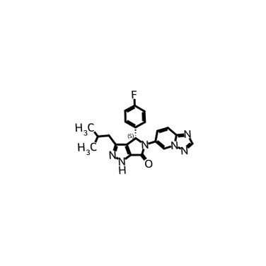 CC(C)Cc1n[nH]c2c1[C@H](c1ccc(F)cc1)N(c1ccc3ncnn3c1)C2=O